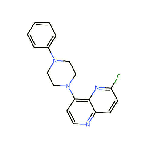 Clc1ccc2nccc(N3CCN(c4ccccc4)CC3)c2n1